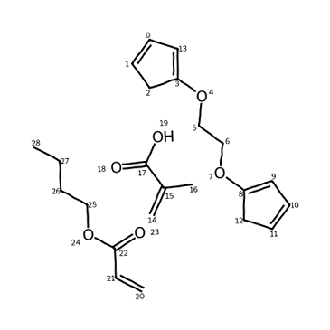 C1=CCC(OCCOC2=CC=CC2)=C1.C=C(C)C(=O)O.C=CC(=O)OCCCC